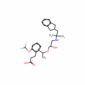 CC(OCC(O)CNC(C)(C)CC1Cc2ccccc2C1)c1cccc(OC(F)F)c1CCC(=O)O